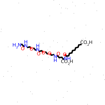 NCC(=O)NCCOCCNC(=O)COCCOCCNC(=O)CC[C@H](NC(=O)CCCCCCCCCC(=O)O)C(=O)O